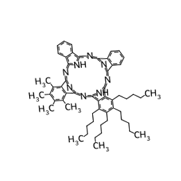 CCCCCc1c(CCCCC)c(CCCCC)c2c3nc4nc(nc5[nH]c(nc6nc(nc([nH]3)c2c1CCCCC)-c1ccccc1-6)c1ccccc51)-c1c(C)c(C)c(C)c(C)c1-4